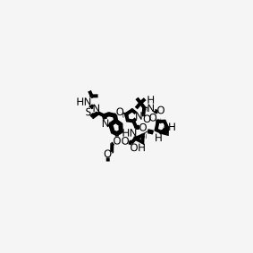 C=C[C@@H]1C[C@]1(NC(=O)C1C[C@@H](Oc2cc(-c3csc(NC(C)C)n3)nc3cc(OCCOC)ccc23)CN1C(=O)[C@@H](NC(=O)O[C@@H]1C[C@@H]2C[C@@H]2C1)C(C)(C)C)C(=O)O